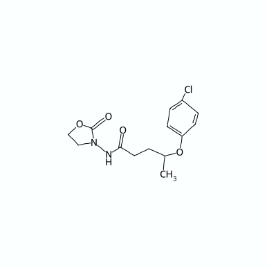 CC(CCC(=O)NN1CCOC1=O)Oc1ccc(Cl)cc1